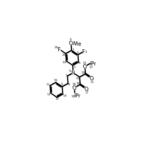 COc1c(F)cc(N(CCc2ccccc2)C(C(=O)OC(C)C)C(=O)OC(C)C)cc1F